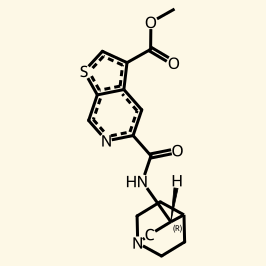 COC(=O)c1csc2cnc(C(=O)N[C@H]3CN4CCC3CC4)cc12